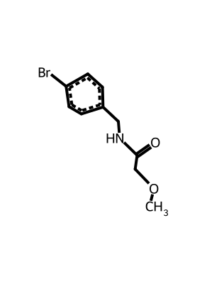 COCC(=O)NCc1ccc(Br)cc1